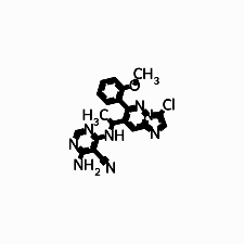 COc1ccccc1-c1nn2c(Cl)cnc2cc1C(C)Nc1ncnc(N)c1C#N